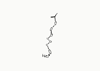 CC(C)OOOOOOOO